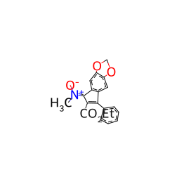 CCOC(=O)C1=C(c2ccccc2)c2cc3c(cc2/C1=[N+](/C)[O-])OCO3